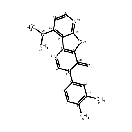 Cc1ccc(-n2cnc3c(sc4nccc(N(C)C)c43)c2=O)cc1C